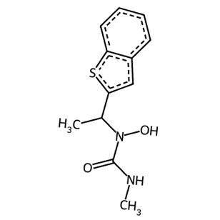 CNC(=O)N(O)C(C)c1cc2ccccc2s1